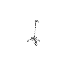 CCCCCCCCCCCCCCCCCCNC(=O)OCC(CNS(=O)(=O)CCCCl)CC(C)OC(=O)c1ccccc1